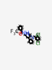 O=C(NCc1cc2c3ccccc3n(Cc3cc(Cl)ccc3Cl)c2cn1)c1ccccc1C(F)(F)F